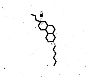 CCCCCC[C@@H]1CCC2C(CCC3C[C@](C#N)(CCC)CCC32)C1